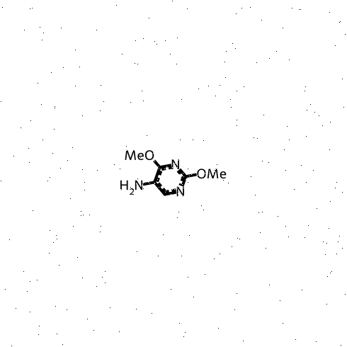 COc1ncc(N)c(OC)n1